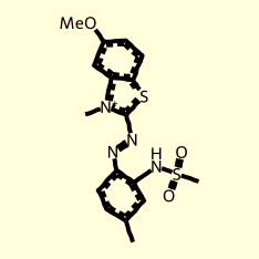 COc1ccc2sc(N=Nc3ccc(C)cc3NS(C)(=O)=O)[n+](C)c2c1